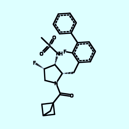 CS(=O)(=O)N[C@H]1[C@@H](F)CN(C(=O)C23CC(C2)C3)[C@H]1Cc1cccc(-c2ccccc2)c1F